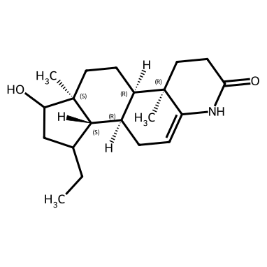 CCC1CC(O)[C@@]2(C)CC[C@@H]3[C@@H](CC=C4NC(=O)CC[C@@]43C)[C@H]12